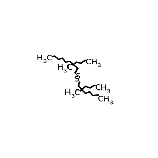 CCCCCCC(C)(CCCC)CCSSCCC(C)(CCCC)CCCCC